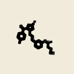 Cc1ccc(C(=O)c2cc(F)cn2C/C=C/c2cccc(O[C@@H](C)COO)c2)cc1